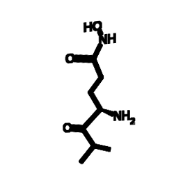 CC(C)C(=O)[C@H](N)CCC(=O)NO